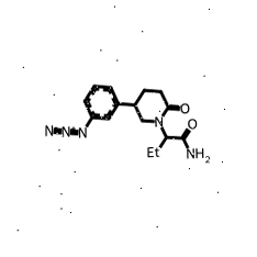 CCC(C(N)=O)N1CC(c2cccc(N=[N+]=[N-])c2)CCC1=O